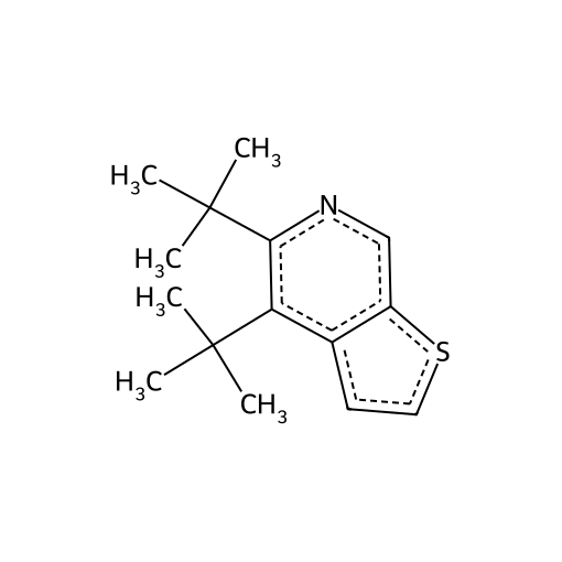 CC(C)(C)c1ncc2sccc2c1C(C)(C)C